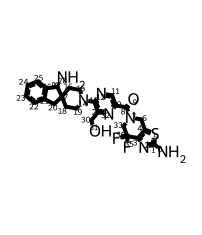 Nc1nc2c(s1)CN(C(=O)c1cnc(N3CCC4(CC3)Cc3ccccc3[C@H]4N)c(CO)n1)CC2(F)F